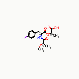 CO[C@H](C)C(=O)N[C@@H](Cc1ccc(I)cc1)C(=O)O[C@H](C)C(=O)O